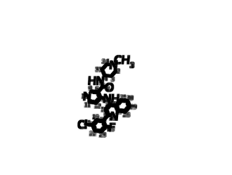 CN1CCC(NC(=O)c2cnccc2Nc2cc(-c3cc(Cl)ccc3F)nc3ccccc23)CC1